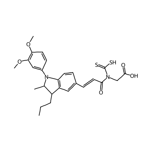 CCCC1c2cc(/C=C/C(=O)N(CC(=O)O)C(=S)S)ccc2N(c2ccc(OC)c(OC)c2)C1C